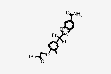 CCC(CC)(c1ccc(OCC(=O)C(C)(C)C)c(C)c1)c1nc2ccc(C(N)=O)cc2o1